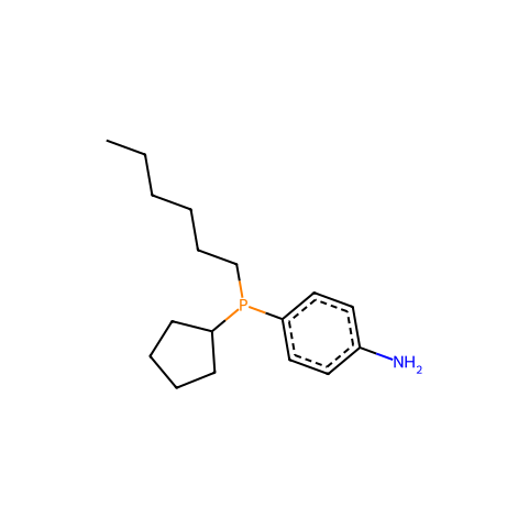 CCCCCCP(c1ccc(N)cc1)C1CCCC1